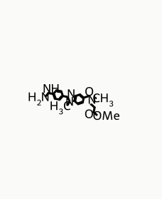 COC(=O)CCN(C)C(=O)c1ccc2c(c1)nc(-c1ccc(C(=N)N)cc1)n2C